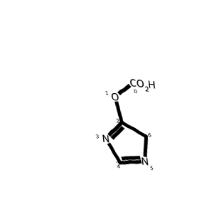 O=C(O)OC1=N[C]=NC1